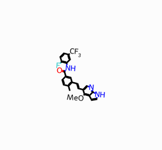 COc1c(/C=C/c2cc(C(=O)Nc3cc(C(F)(F)F)ccc3F)ccc2C)cnc2[nH]ccc12